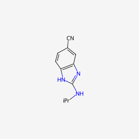 CC(C)Nc1nc2cc(C#N)ccc2[nH]1